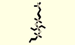 CC=C[Si](C)(C)O[Si](CC)(CC)O[Si](C)(C)C=CC[SiH](C)C